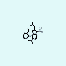 CCc1ccccc1-c1c(C(C)C)ccc2c1C=C(CC(C)C)[CH]2[Zr]([Cl])[Cl]